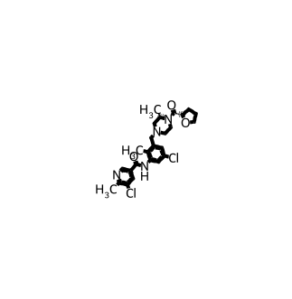 Cc1ncc(C(=O)Nc2cc(Cl)cc(CN3CCN(C(=O)[C@@H]4CCCO4)[C@@H](C)C3)c2C)cc1Cl